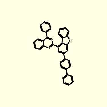 c1ccc(-c2ccc(-c3cc(-c4nc(-c5ccccc5)c5ccccc5n4)c4c(c3)oc3ccccc34)cc2)cc1